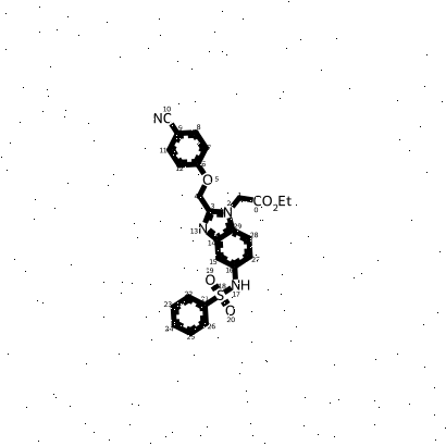 CCOC(=O)Cn1c(COc2ccc(C#N)cc2)nc2cc(NS(=O)(=O)c3ccccc3)ccc21